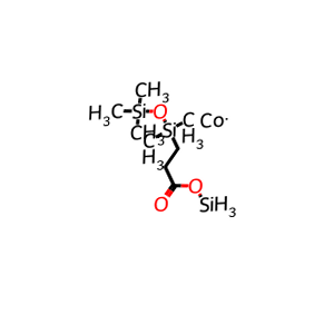 C[Si](C)(C)O[Si](C)(C)CCC(=O)O[SiH3].[Co]